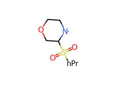 CCCS(=O)(=O)C1COCC[N]1